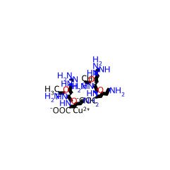 C[C@H](N)C(=O)N[C@@H](CCCNC(=N)N)C(=O)N[C@@H](CCCCN)C(=O)[O-].C[C@H](N)C(=O)N[C@@H](CCCNC(=N)N)C(=O)N[C@@H](CCCCN)C(=O)[O-].[Cu+2]